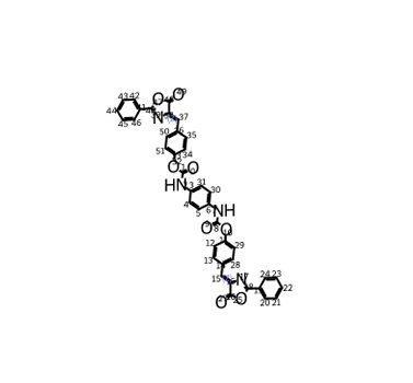 O=C(Nc1ccc(NC(=O)Oc2ccc(/C=C3\N=C(c4ccccc4)OC3=O)cc2)cc1)Oc1ccc(/C=C2\N=C(c3ccccc3)OC2=O)cc1